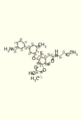 CC[C@@H](Oc1nc(Oc2cc(C)cc(-c3cccc(CN)c3)c2)c(F)c(CC(=O)NCCOC)c1F)C(=O)O